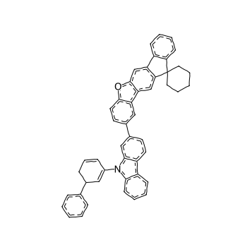 C1=CC(n2c3ccccc3c3ccc(-c4ccc5oc6cc7c(cc6c5c4)C4(CCCCC4)c4ccccc4-7)cc32)=CC(c2ccccc2)C1